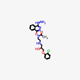 CC(=O)N(CCNCC(O)COc1ccccc1Cl)Oc1nnc(NN)c2ccccc12